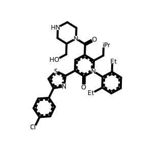 CCc1cccc(CC)c1-n1c(CC(C)C)c(C(=O)N2CCNCC2CO)cc(-c2nc(-c3ccc(Cl)cc3)cs2)c1=O